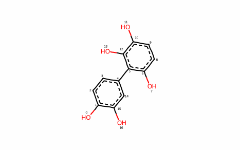 Oc1ccc(-c2c(O)ccc(O)c2O)cc1O